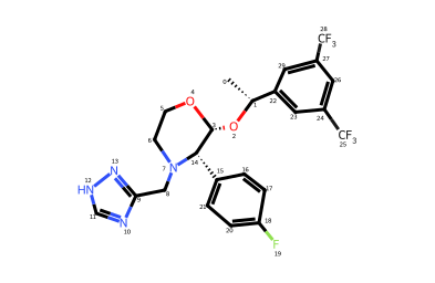 C[C@@H](O[C@H]1OCCN(Cc2nc[nH]n2)[C@H]1c1ccc(F)cc1)c1cc(C(F)(F)F)cc(C(F)(F)F)c1